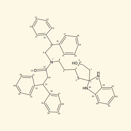 O=C(O)CC1(SCCCN(CC(c2ccccc2)c2ccccc2)C(=O)CC(c2ccccc2)c2ccccc2)Nc2ccccc2N1